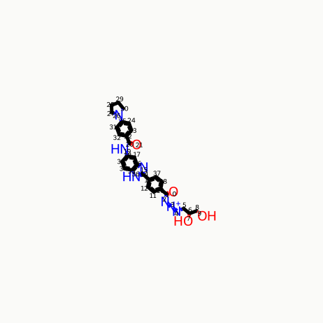 O=C(N=[N+]=NCC(O)CO)c1ccc(-c2nc3cc(NC(=O)c4ccc(N5CCCC5)cc4)ccc3[nH]2)cc1